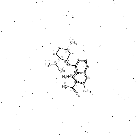 Cc1nc2cccc(O[C@@H]3C[C@@H](C)CC[C@H]3C(C)C)c2c(N)c1C(=O)O